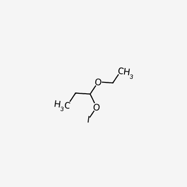 CCOC(CC)OI